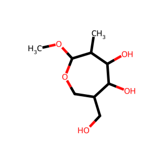 COC1OCC(CO)C(O)C(O)C1C